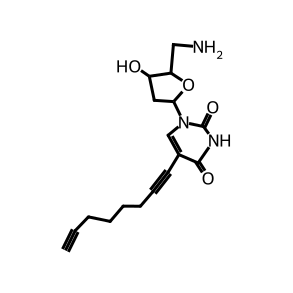 C#CCCCCC#Cc1cn(C2CC(O)C(CN)O2)c(=O)[nH]c1=O